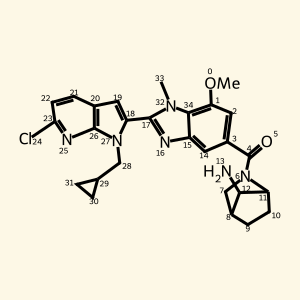 COc1cc(C(=O)N2CC3CCC2C3N)cc2nc(-c3cc4ccc(Cl)nc4n3CC3CC3)n(C)c12